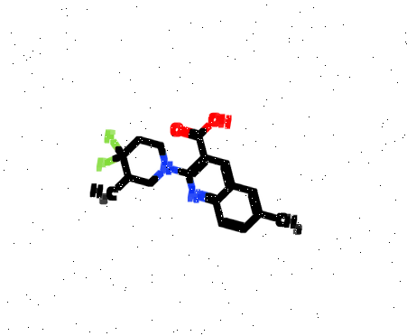 Cc1ccc2nc(N3CCC(F)(F)C(C)C3)c(C(=O)O)cc2c1